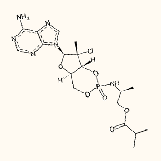 CC(C)C(=O)OC[C@H](C)NP1(=O)OC[C@H]2O[C@@H](n3cnc4c(N)ncnc43)[C@](C)(Cl)[C@@H]2O1